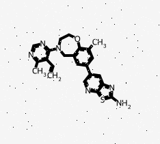 C=Cc1c(C)ncnc1N1CCOc2c(C)cc(-c3cnc4sc(N)nc4c3)cc2C1